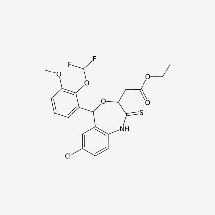 CCOC(=O)CC1OC(c2cccc(OC)c2OC(F)F)c2cc(Cl)ccc2NC1=S